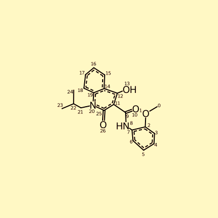 COc1ccccc1NC(=O)c1c(O)c2ccccc2n(CC(C)C)c1=O